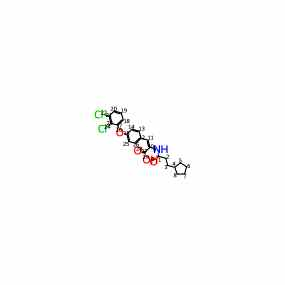 O=C(CCC1CCCC1)N/C(=C/c1ccc(Oc2cccc(Cl)c2Cl)cc1)C(=O)O